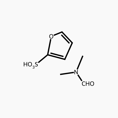 CN(C)C=O.O=S(=O)(O)c1ccco1